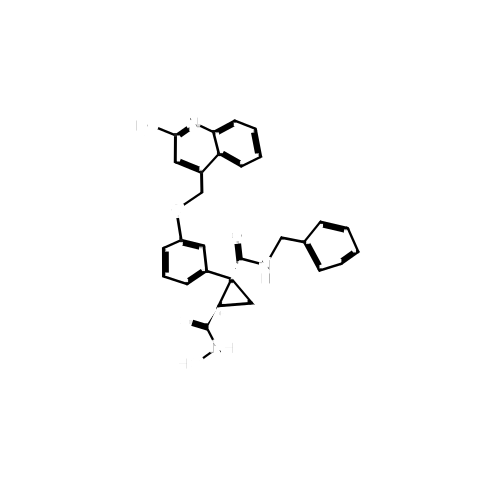 Cc1cc(COc2cccc([C@@]3(C(=O)NCc4ccccc4)C[C@H]3C(=O)NO)c2)c2ccccc2n1